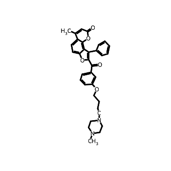 Cc1cc(=O)oc2c1ccc1oc(C(=O)c3cccc(OCCCCN4CCN(C)CC4)c3)c(-c3ccccc3)c12